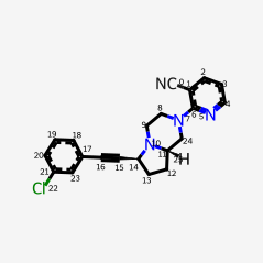 N#Cc1cccnc1N1CCN2[C@@H](CC[C@H]2C#Cc2cccc(Cl)c2)C1